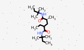 CCC(C[C@@H](C)C(=O)NC(C)(C)CC)C(=O)NC(C)(C)CC